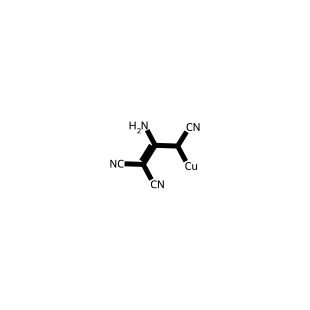 N#CC(C#N)=C(N)[CH]([Cu])C#N